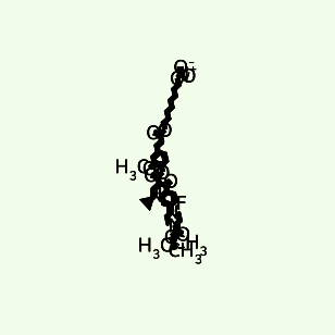 COc1cc(C=CC(=O)OCCCCCCCCO[N+](=O)[O-])ccc1OC(=O)c1cn(C2CC2)c2cc(N3CCN(C(=O)OC(C)(C)C)CC3)c(F)cc2c1=O